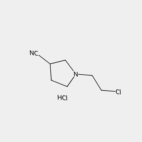 Cl.N#CC1CCN(CCCl)C1